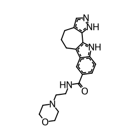 O=C(NCCN1CCOCC1)c1ccc2[nH]c3c(c2c1)CCCc1cn[nH]c1-3